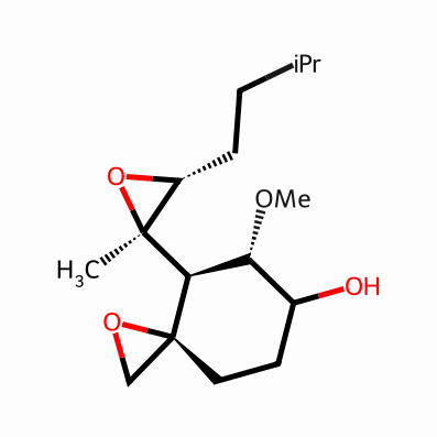 CO[C@@H]1C(O)CC[C@]2(CO2)[C@H]1[C@@]1(C)O[C@@H]1CCC(C)C